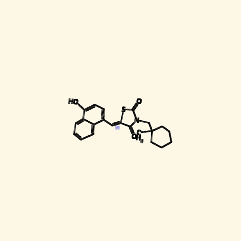 CC1(CN2C(=O)S/C(=C\c3ccc(O)c4ccccc34)C2=O)CCCCC1